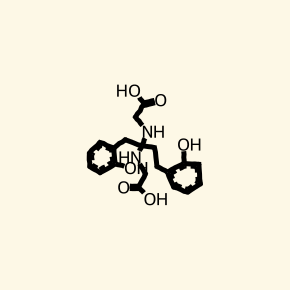 O=C(O)CNC(CCc1ccccc1O)(Cc1ccccc1O)NCC(=O)O